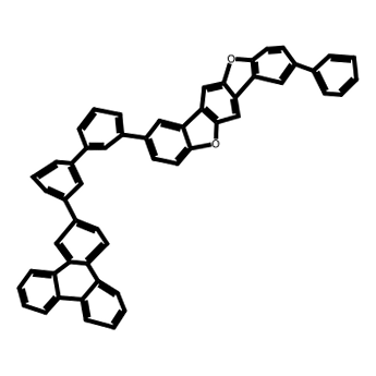 c1ccc(-c2ccc3oc4cc5c(cc4c3c2)oc2ccc(-c3cccc(-c4cccc(-c6ccc7c8ccccc8c8ccccc8c7c6)c4)c3)cc25)cc1